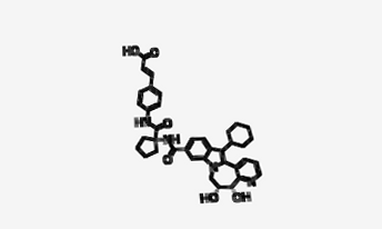 O=C(O)/C=C/c1ccc(NC(=O)C2(NC(=O)c3ccc4c(C5CCCCC5)c5n(c4c3)C[C@@H](O)[C@@H](O)c3ncccc3-5)CCCC2)cc1